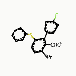 CC(C)c1ccc(Sc2ccccc2)c(-c2ccc(F)cc2)c1C=O